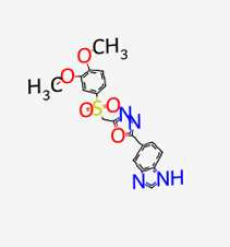 COc1ccc(S(=O)(=O)Cc2nnc(-c3ccc4[nH]cnc4c3)o2)cc1OC